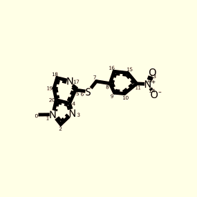 Cn1cnc2c(SCc3ccc([N+](=O)[O-])cc3)nccc21